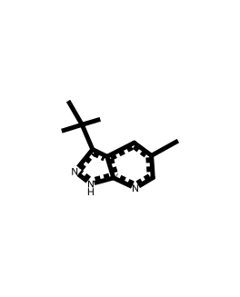 Cc1cnc2[nH]nc(C(C)(C)C)c2c1